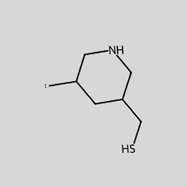 [CH]C1CNCC(CS)C1